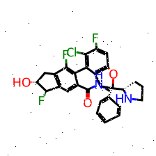 CNC(=O)c1cc2c(c(F)c1-c1c(Cl)c(F)cc3c1C[C@](c1ccccc1)([C@@H]1CCCN1)O3)C[C@@H](O)[C@@H]2F